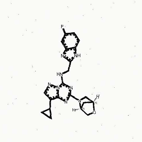 Fc1ccc2[nH]c(CNc3nc(N4C[C@@H]5C[C@H]4CO5)nc4c(C5CC5)cnn34)nc2c1